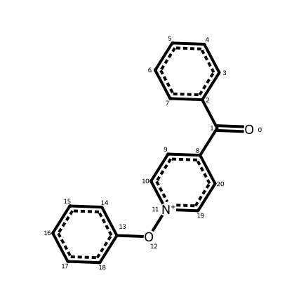 O=C(c1ccccc1)c1cc[n+](Oc2ccccc2)cc1